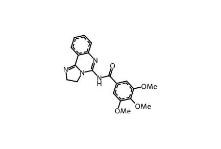 COc1cc(C(=O)NC2=Nc3ccccc3C3=NCCN23)cc(OC)c1OC